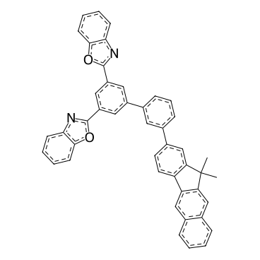 CC1(C)c2cc(-c3cccc(-c4cc(-c5nc6ccccc6o5)cc(-c5nc6ccccc6o5)c4)c3)ccc2-c2cc3ccccc3cc21